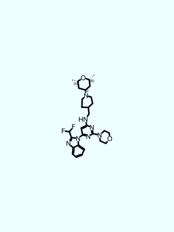 C[C@@H]1C[C@@H](N2CCC(CNc3cc(-n4c(C(F)F)nc5ccccc54)nc(N4CCOCC4)n3)CC2)C[C@H](C)O1